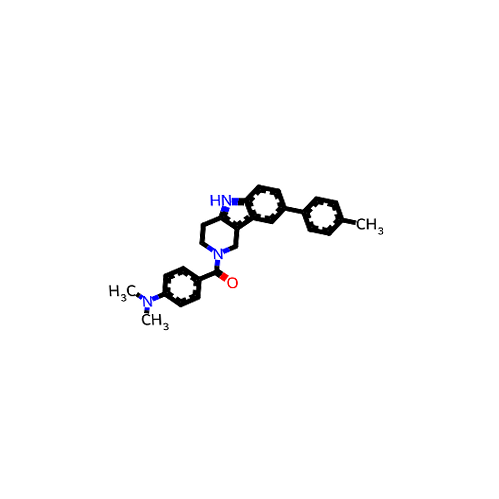 Cc1ccc(-c2ccc3[nH]c4c(c3c2)CN(C(=O)c2ccc(N(C)C)cc2)CC4)cc1